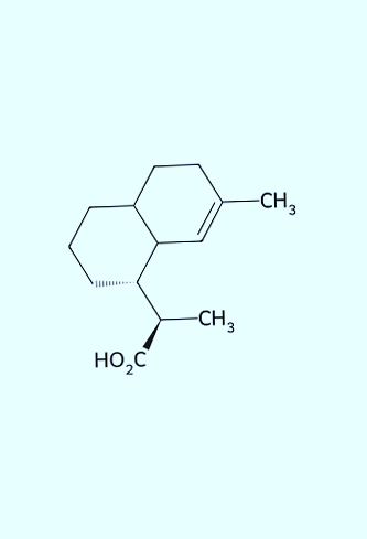 CC1=CC2C(CCC[C@H]2[C@@H](C)C(=O)O)CC1